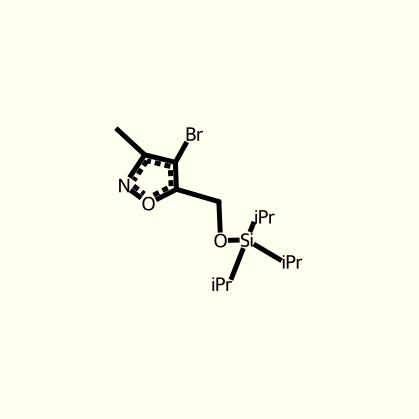 Cc1noc(CO[Si](C(C)C)(C(C)C)C(C)C)c1Br